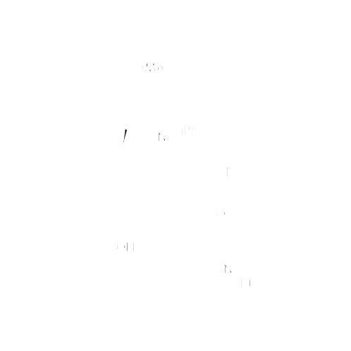 CCN(C)CCOc1ccc(CN(c2cc(OC)ccc2[C@@H]2CCc3cc(O)ccc3C2)C(C)C)cc1F